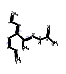 C=C\C=C/C(=C\C=C)C(/C)=N/NC(N)=O